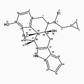 CCN(CC1CC1)C1Cc2ccc(O)c3c2[C@@]2(C)[C@@H](O3)c3[nH]c4ccccc4c3C[C@@]12O